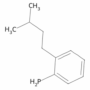 CC(C)CCc1ccccc1P